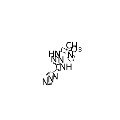 C[C@]1(C(=O)N2CCCC2)C[C@H](Nc2ncc3c(-c4ccc5nccn5n4)c[nH]c3n2)C1